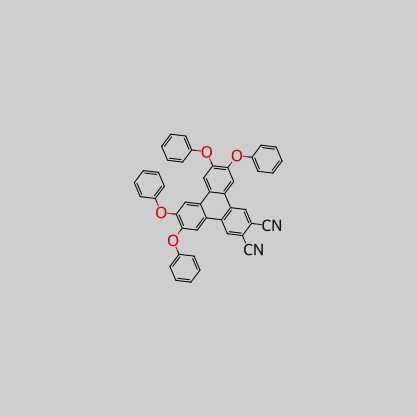 N#Cc1cc2c(cc1C#N)c1cc(Oc3ccccc3)c(Oc3ccccc3)cc1c1cc(Oc3ccccc3)c(Oc3ccccc3)cc21